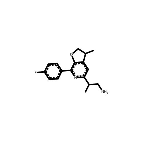 CC(CN)c1cc2c(c(-c3ccc(F)cc3)n1)OCC2C